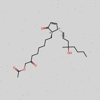 CCCCC(C)(O)C/C=C/[C@H]1C=CC(=O)[C@@H]1CCCCCCC(=O)COC(C)=O